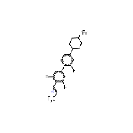 CCCC1CCC(c2ccc(-c3cc(F)c(/C=C/C(F)(F)F)c(F)c3)c(F)c2)CC1